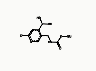 CC(C)(C)OC(=O)NCc1cnc(Cl)cc1B(O)O